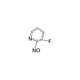 O=Nc1ncccc1F